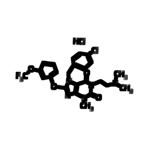 CN(C)CCn1c(=O)c2c(nc(Oc3cccc(OC(F)(F)F)c3)n2Cc2ccc(Cl)cc2)n(C)c1=O.Cl